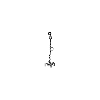 CC(C)[Si](OCCCCCCCCCCC(=O)CCCCCCCCOCc1ccccc1)(C(C)C)C(C)C